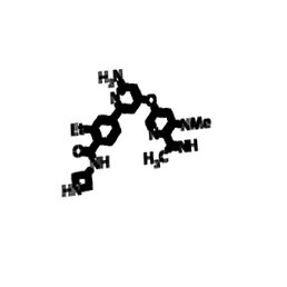 CCc1cc(-c2cc(Oc3cnc(C(C)=N)c(NC)c3)cc(N)n2)ccc1C(=O)NC1CNC1